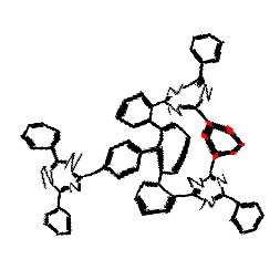 c1ccc(-c2nc(-c3ccccc3)nc(-c3ccc(-c4c(-c5ccccc5-c5nc(-c6ccccc6)nc(-c6ccccc6)n5)cccc4-c4ccccc4-c4nc(-c5ccccc5)nc(-c5ccccc5)n4)cc3)n2)cc1